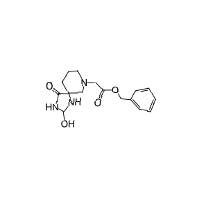 O=C(CN1CCCC2(C1)NC(O)NC2=O)OCc1ccccc1